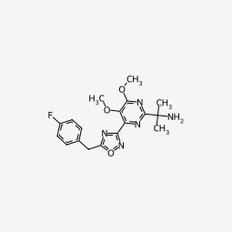 COc1nc(C(C)(C)N)nc(-c2noc(Cc3ccc(F)cc3)n2)c1OC